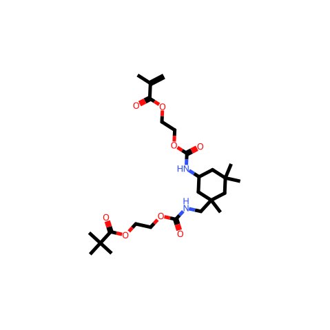 C=C(C)C(=O)OCCOC(=O)NC1CC(C)(C)CC(C)(CNC(=O)OCCOC(=O)C(C)(C)C)C1